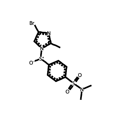 Cc1nc(Br)cn1[S+]([O-])c1ccc(S(=O)(=O)N(C)C)cc1